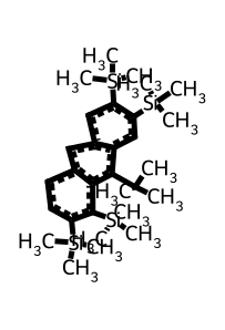 CC(C)(C)c1c2cc([Si](C)(C)C)c([Si](C)(C)C)cc2cc2ccc([Si](C)(C)C)c([Si](C)(C)C)c12